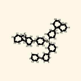 c1ccc(-c2cccc(-c3cccc(N(c4ccc(-c5ccc6c(c5)sc5ccccc56)cc4)c4ccc(-c5cccc6ccccc56)cc4)c3)c2)cc1